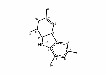 CC1=CC2c3cc(C)cc(C)c3NC2C(C)C1